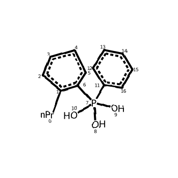 CCCc1ccccc1P(O)(O)(O)c1ccccc1